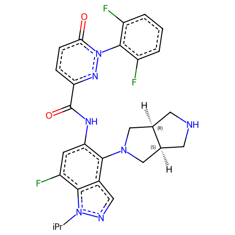 CC(C)n1ncc2c(N3C[C@H]4CNC[C@H]4C3)c(NC(=O)c3ccc(=O)n(-c4c(F)cccc4F)n3)cc(F)c21